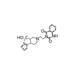 O=C(O)C1CN(CCn2c(=O)[nH]c3ccccc3c2=O)CCC1c1cccs1